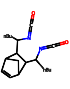 CCCCC(N=C=O)C1C2C=CC(C2)C1C(CCCC)N=C=O